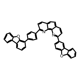 c1ccc2c(c1)oc1ccc(-c3ccc4ccc5ccc(-c6ccc(-c7cccc8c7oc7ccccc78)cc6)nc5c4n3)cc12